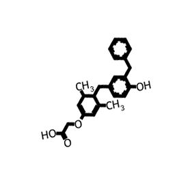 CC1=CC(OCC(=O)O)=CC(C)C1Cc1ccc(O)c(Cc2ccccc2)c1